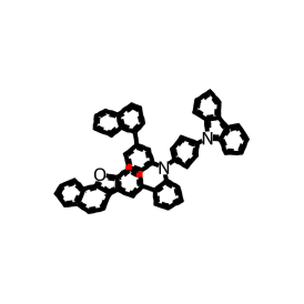 c1cc(-c2cccc3ccccc23)cc(N(c2ccc(-n3c4ccccc4c4ccccc43)cc2)c2ccccc2-c2ccc3oc4c5ccccc5ccc4c3c2)c1